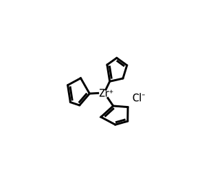 C1=CC[C]([Zr+]([C]2=CC=CC2)[C]2=CC=CC2)=C1.[Cl-]